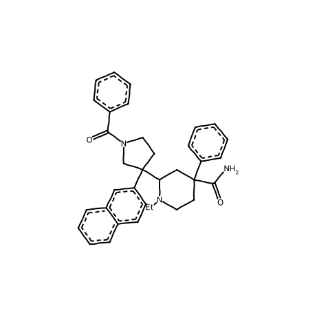 CCN1CCC(C(N)=O)(c2ccccc2)CC1C1(c2ccc3ccccc3c2)CCN(C(=O)c2ccccc2)C1